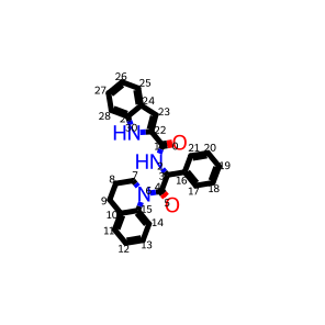 O=C(NC(C(=O)N1CCCc2ccccc21)c1ccccc1)c1cc2ccccc2[nH]1